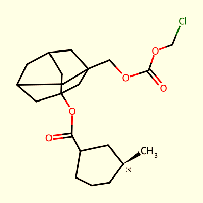 C[C@H]1CCCC(C(=O)OC23CC4CC(CC(COC(=O)OCCl)(C4)C2)C3)C1